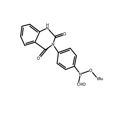 CC(C)(C)ON(C=O)c1ccc(-n2c(=O)[nH]c3ccccc3c2=O)cc1